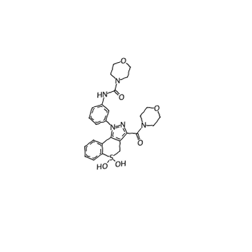 O=C(Nc1cccc(-n2nc(C(=O)N3CCOCC3)c3c2-c2ccccc2S(O)(O)C3)c1)N1CCOCC1